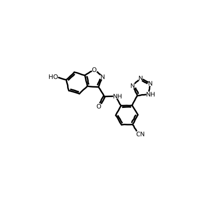 N#Cc1ccc(NC(=O)c2noc3cc(O)ccc23)c(-c2nnn[nH]2)c1